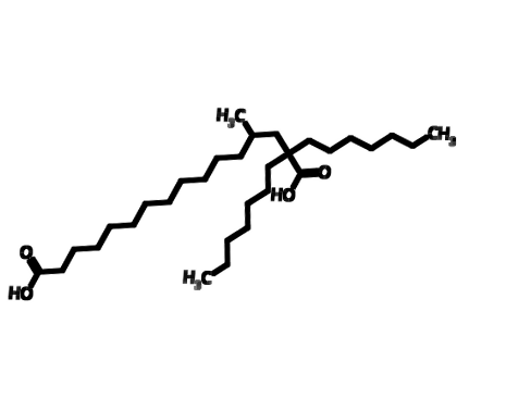 CCCCCCCC(CCCCCCC)(CC(C)CCCCCCCCCCCC(=O)O)C(=O)O